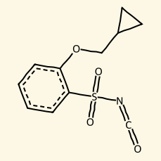 O=C=NS(=O)(=O)c1ccccc1OCC1CC1